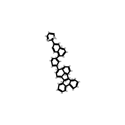 c1cnc(-c2ccc3c(-c4cccc(-c5ccc6c7c(cccc57)-c5c-6c6ccccc6c6ccccc56)c4)cccc3c2)nc1